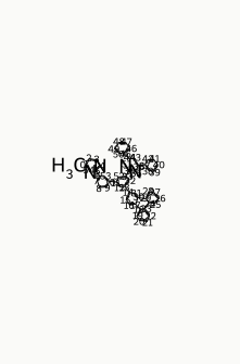 Cc1ccnc(-c2cccc(-c3cc(-c4ccc5c6ccccc6c6ccccc6c5c4)cc(-c4nc(-c5ccccc5)cc(-c5ccccc5)n4)c3)c2)n1